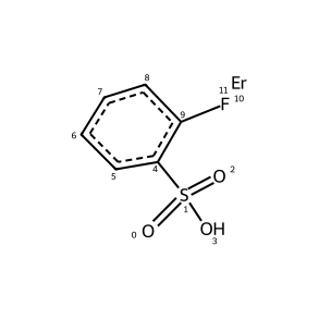 O=S(=O)(O)c1ccccc1F.[Er]